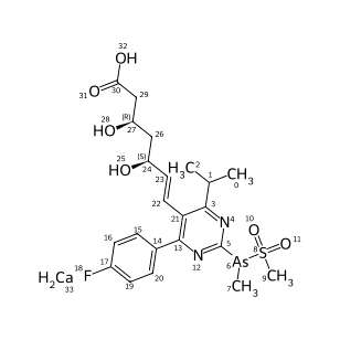 CC(C)c1nc([As](C)S(C)(=O)=O)nc(-c2ccc(F)cc2)c1C=C[C@@H](O)C[C@@H](O)CC(=O)O.[CaH2]